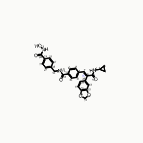 O=C(NC1CC1)/C(=C/c1ccc(C(=O)NCc2ccc(C(=O)NO)cc2)cc1)c1ccc2c(c1)OCO2